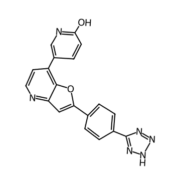 Oc1ccc(-c2ccnc3cc(-c4ccc(-c5nn[nH]n5)cc4)oc23)cn1